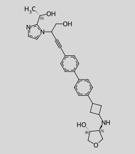 C[C@H](O)c1nccn1C(C#Cc1ccc(-c2ccc(C3CC(N[C@H]4COC[C@@H]4O)C3)cc2)cc1)CO